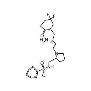 N[C@@H](CCN1CCCC1CNS(=O)(=O)c1ccccc1)CN1CC(F)(F)CCC1=O